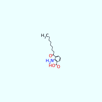 CCCCCCCCC(=O)c1cccc(C(=O)O)c1N